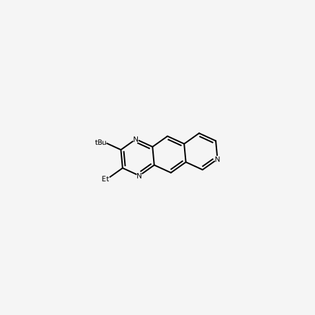 CCc1nc2cc3cnccc3cc2nc1C(C)(C)C